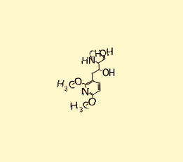 CNC(CO)[C@@H](O)Cc1ccc(OC)nc1OC